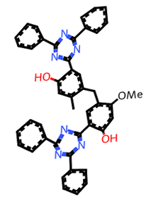 COc1cc(O)c(-c2nc(-c3ccccc3)nc(-c3ccccc3)n2)cc1Cc1cc(-c2nc(-c3ccccc3)nc(-c3ccccc3)n2)c(O)cc1C